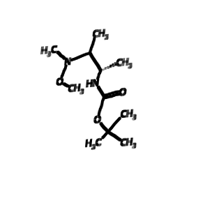 CON(C)C(C)[C@H](C)NC(=O)OC(C)(C)C